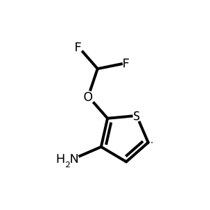 Nc1c[c]sc1OC(F)F